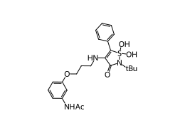 CC(=O)Nc1cccc(OCCCNC2=C(c3ccccc3)S(O)(O)N(C(C)(C)C)C2=O)c1